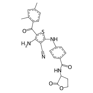 Cc1ccc(C(=O)c2sc(Nc3ccc(C(=O)NC4CCOC4=O)cc3)c(C#N)c2N)c(C)c1